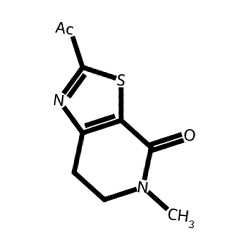 CC(=O)c1nc2c(s1)C(=O)N(C)CC2